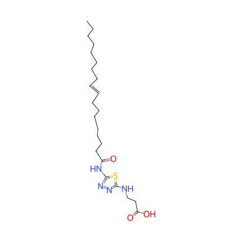 CCCCCCCCC=CCCCCCCCC(=O)Nc1nnc(NCCC(=O)O)s1